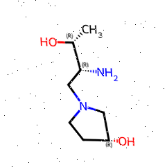 C[C@@H](O)[C@H](N)CN1CC[C@@H](O)C1